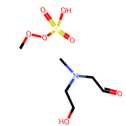 CN(CC=O)CCO.COOS(=O)(=O)O